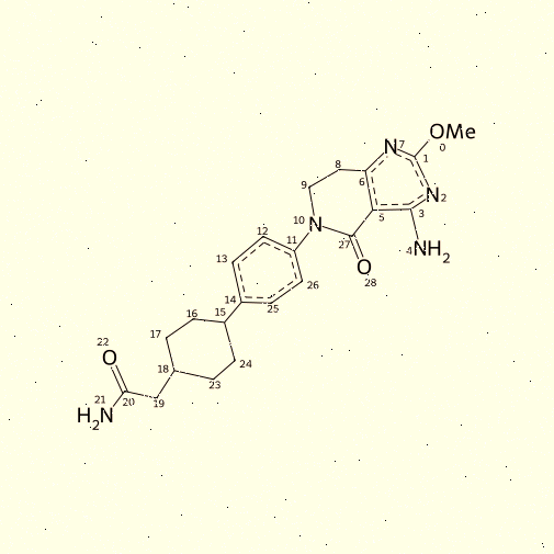 COc1nc(N)c2c(n1)CCN(c1ccc(C3CCC(CC(N)=O)CC3)cc1)C2=O